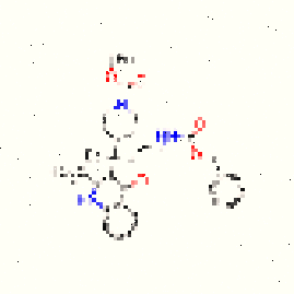 CCC(CCCNC(=O)OCc1ccccc1)(c1c(C(=O)O)[nH]c2ccccc2c1=O)C1CCN(C(=O)OC(C)(C)C)CC1